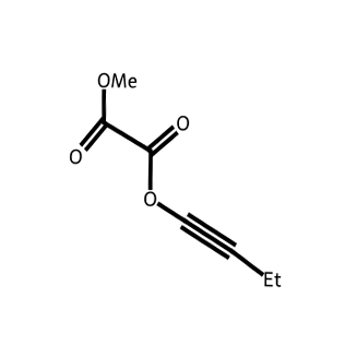 CCC#COC(=O)C(=O)OC